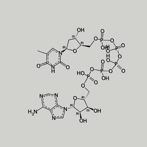 Cc1cn([C@H]2C[C@H](O)[C@@H](COP(=O)(O)OP(=O)(O)OP(=O)(O)OP(=O)(O)OP(=O)(O)OC[C@H]3O[C@@H](n4cnc5c(N)ncnc54)[C@H](O)[C@@H]3O)O2)c(=O)[nH]c1=O